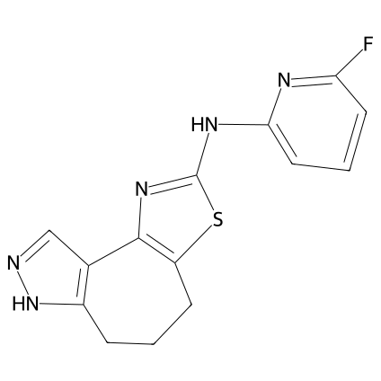 Fc1cccc(Nc2nc3c(s2)CCCc2[nH]ncc2-3)n1